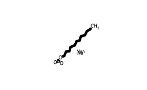 CCCCCCCCCCCCOB([O-])[O-].[Na+].[Na+]